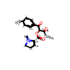 Bc1ccc(C(=O)C(OC(=O)[C@@H]2CCCN2C)C(=O)OC)cc1